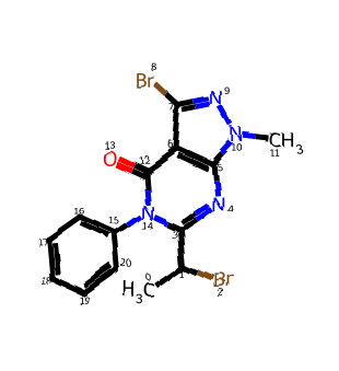 CC(Br)c1nc2c(c(Br)nn2C)c(=O)n1-c1ccccc1